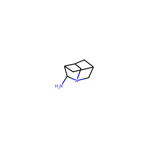 NC1C2CC3CC2CN1C3